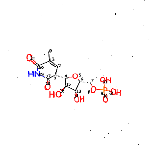 CC1=CC([C@@H]2O[C@H](COP(=O)(O)O)[C@@H](O)[C@H]2O)C(=O)NC1=O